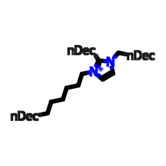 CCCCCCCCCCCCCCCC[n+]1ccn(CCCCCCCCCCC)c1CCCCCCCCCC